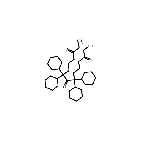 CCC(=O)CCCC(C(=O)C(CCCC(=O)CC)(C1CCCCC1)C1CCCCC1)(C1CCCCC1)C1CCCCC1